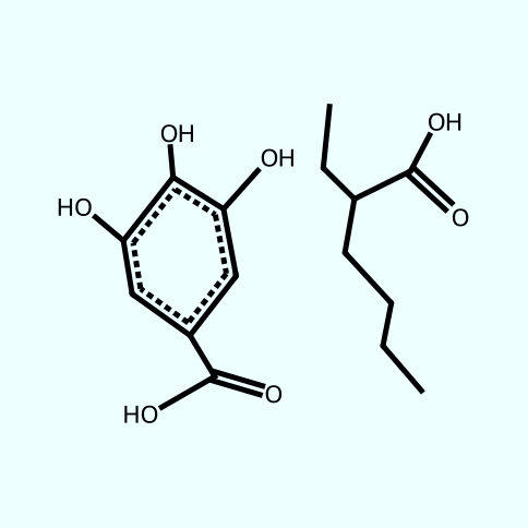 CCCCC(CC)C(=O)O.O=C(O)c1cc(O)c(O)c(O)c1